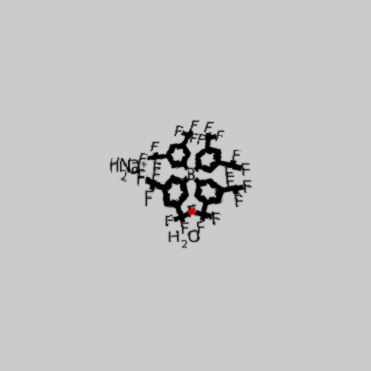 FC(F)(F)c1cc([B-](c2cc(C(F)(F)F)cc(C(F)(F)F)c2)(c2cc(C(F)(F)F)cc(C(F)(F)F)c2)c2cc(C(F)(F)F)cc(C(F)(F)F)c2)cc(C(F)(F)F)c1.O.O.[Na+]